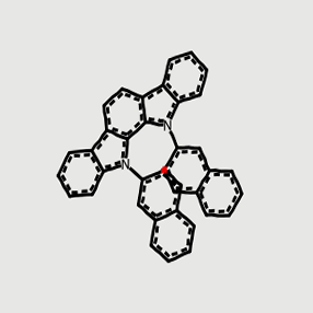 c1ccc2cc(-n3c4ccccc4c4ccc5c6ccccc6n(-c6ccc7ccccc7c6)c5c43)ccc2c1